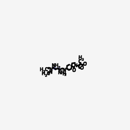 C=CN(N=C)/C(N)=C/C=C(\N)CN[C@H]1CC[C@@]2(CCN(C3=C(C)C(=O)OC3)C2=O)CC1